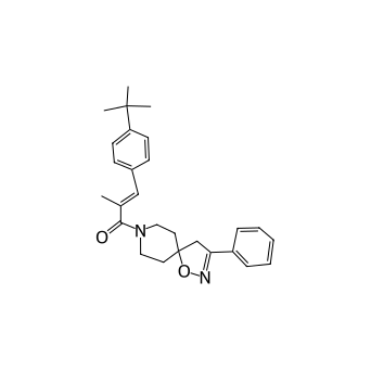 CC(=Cc1ccc(C(C)(C)C)cc1)C(=O)N1CCC2(CC1)CC(c1ccccc1)=NO2